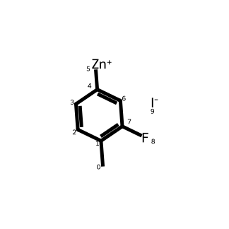 Cc1cc[c]([Zn+])cc1F.[I-]